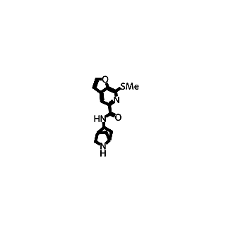 CSc1nc(C(=O)NC2CC3CC2CN3)cc2ccoc12